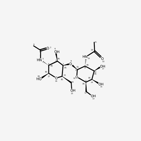 CC(=O)N[C@@H]1[C@@H](O)[C@@H](O[C@@H]2O[C@H](CO)[C@H](O)[C@H](O)[C@H]2NC(C)=O)[C@@H](CO)O[C@H]1O